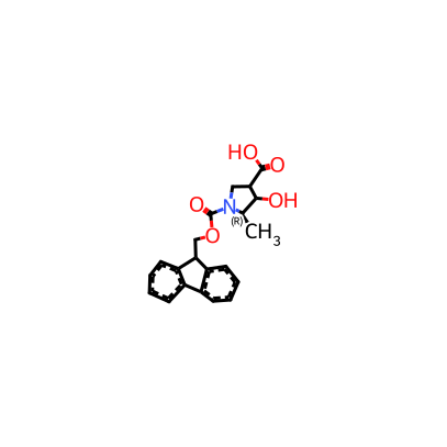 C[C@@H]1C(O)C(C(=O)O)CN1C(=O)OCC1c2ccccc2-c2ccccc21